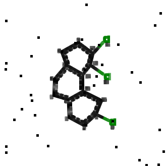 Clc1[c]cc2ccc3c[c]c(Cl)c(Cl)c3c2c1